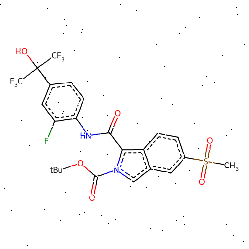 CC(C)(C)OC(=O)n1cc2cc(S(C)(=O)=O)ccc2c1C(=O)Nc1ccc(C(O)(C(F)(F)F)C(F)(F)F)cc1F